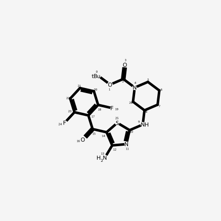 CC(C)(C)OC(=O)N1CCCC(Nc2nc(N)c(C(=O)c3c(F)cccc3F)s2)C1